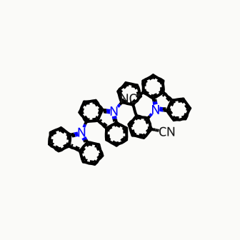 N#Cc1cccc(-c2ccccc2-n2c3ccccc3c3c(-n4c5ccccc5c5ccccc54)cccc32)c1-n1c2ccccc2c2cccc(C#N)c21